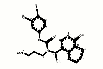 COCCCN(C(=O)Nc1ccc(F)c(Cl)c1)C(C)c1c[nH]c(=O)c2ccccc12